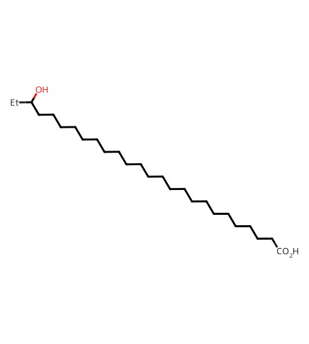 CCC(O)CCCCCCCCCCCCCCCCCCCCCCC(=O)O